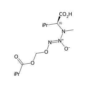 CC(C)C(=O)OCON=[N+]([O-])N(C)[C@H](C(=O)O)C(C)C